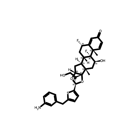 C[C@]12C=CC(=O)C=C1[C@@H](F)C[C@H]1[C@@H]3C[C@H]4O[C@H](c5ccc(Cc6cccc(N)c6)s5)O[C@@]4(C(=O)CO)[C@@]3(C)C[C@H](O)[C@@]12F